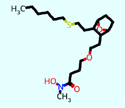 CCCCCCSCCC1C2CCC(O2)C1CCOCCCC(=O)N(C)O